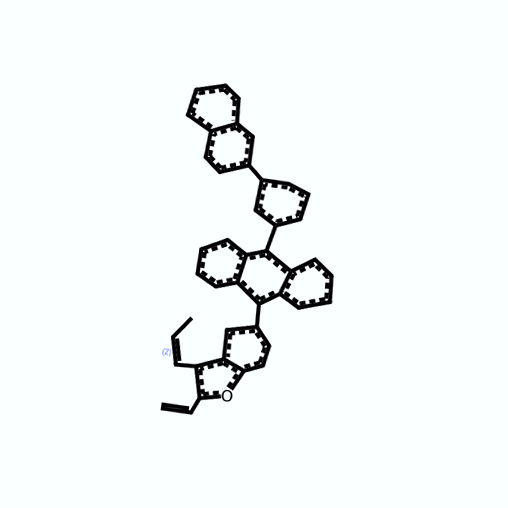 C=Cc1oc2ccc(-c3c4ccccc4c(-c4cccc(-c5ccc6ccccc6c5)c4)c4ccccc34)cc2c1/C=C\C